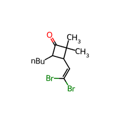 CCCCC1C(=O)C(C)(C)C1C=C(Br)Br